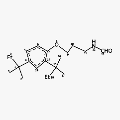 CCC(C)(C)c1ccc(OCCCNC=O)c(C(C)(C)CC)c1